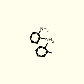 Cc1ccccc1C.Nc1ccccc1N